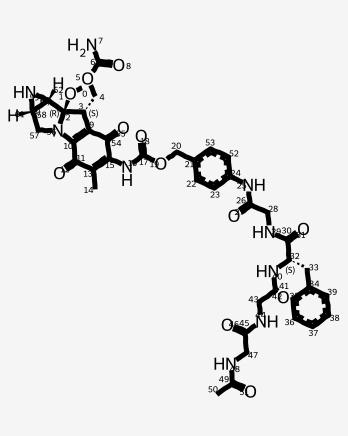 CO[C@@]12[C@H](COC(N)=O)C3=C(C(=O)C(C)=C(NC(=O)OCc4ccc(NC(=O)CNC(=O)[C@H](Cc5ccccc5)NC(=O)CNC(=O)CNC(C)=O)cc4)C3=O)N1C[C@@H]1N[C@@H]12